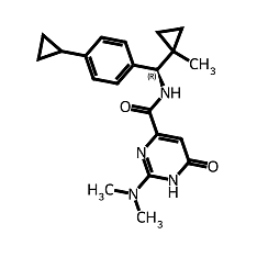 CN(C)c1nc(C(=O)N[C@@H](c2ccc(C3CC3)cc2)C2(C)CC2)cc(=O)[nH]1